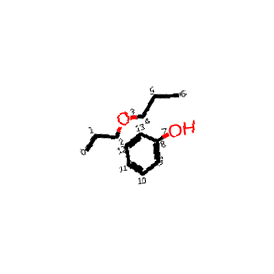 CCCOCCC.Oc1ccccc1